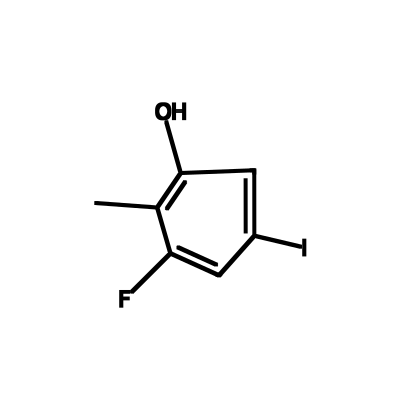 Cc1c(O)cc(I)cc1F